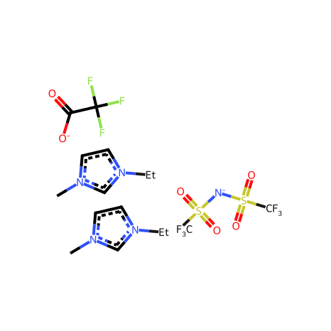 CCn1cc[n+](C)c1.CCn1cc[n+](C)c1.O=C([O-])C(F)(F)F.O=S(=O)([N-]S(=O)(=O)C(F)(F)F)C(F)(F)F